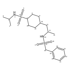 CC(C)NS(=O)(=O)C1CCC(CC(C)NS(=O)(=O)Cc2ccccc2)CC1